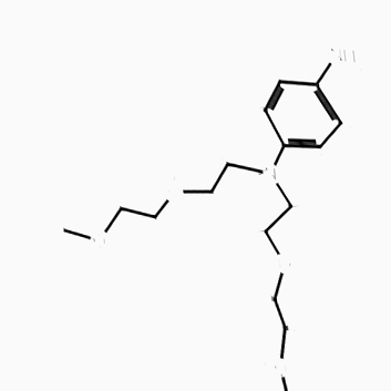 COCCOCCN(CCOCCOC)c1ccc(N)cc1